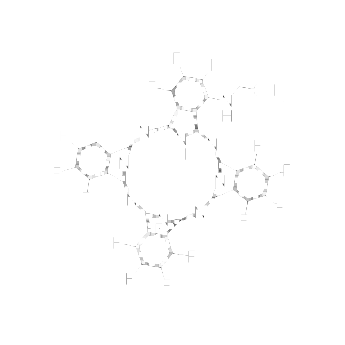 CCNc1c(F)c(F)c(F)c2c3nc4nc(nc5c6c(F)c(F)c(F)c(F)c6c(nc6nc(nc([nH]3)c12)-c1c(F)c(F)c(F)c(F)c1-6)n5F)-c1c-4cc(F)c(F)c1F